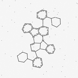 C1=C(c2ccccc2C2CCCCC2)C2c3ccccc3N3c4ccc(-c5ccccc5C5CCCCC5)c5c6ccccc6n(c45)C(=C1)C23